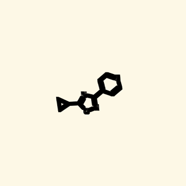 c1cc(-c2noc(C3CC3)n2)ccn1